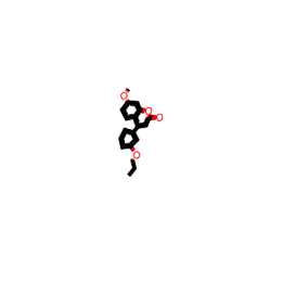 CCCOc1cccc(-c2cc(=O)oc3cc(OC)ccc23)c1